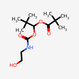 CC(C)(C)C(=O)OC(OC(=O)NCCO)C(C)(C)C